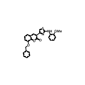 COc1ccccc1Nc1nc(-c2cc3cccc(OCc4ccccc4)c3oc2=O)cs1